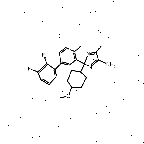 COC1CCC(C2(c3cc(-c4cccc(F)c4F)ccc3C)N=C(C)C(N)=N2)CC1